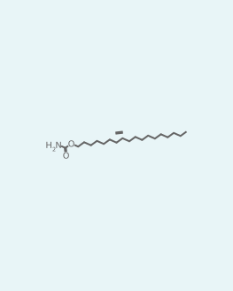 C=C.CCCCCCCCCCCCCCCCCCOC(N)=O